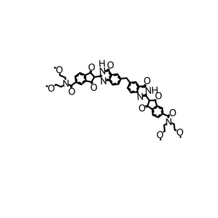 COCCN(CCOC)C(=O)c1ccc2c(c1)C(=O)C(c1nc3ccc(Cc4ccc5nc(C6C(=O)c7ccc(C(=O)N(CCOC)CCOC)cc7C6=O)[nH]c(=O)c5c4)cc3c(=O)[nH]1)C2=O